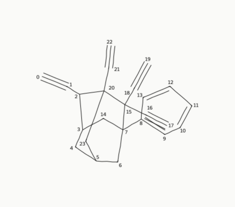 C#CC1C2CC3CC(c4ccccc4)(C2)C(C#C)(C#C)C1(C#C)C3